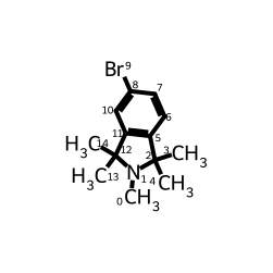 CN1C(C)(C)c2ccc(Br)cc2C1(C)C